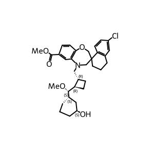 COC(=O)c1ccc2c(c1)N(C[C@@H]1CC[C@H]1[C@@H](OC)[C@H]1CCC[C@H](O)C1)CC1(CCCc3cc(Cl)ccc31)CO2